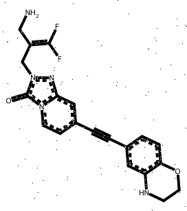 NCC(Cn1nc2cc(C#Cc3ccc4c(c3)NCCO4)ccn2c1=O)=C(F)F